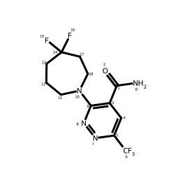 NC(=O)c1cc(C(F)(F)F)nnc1N1CCCC(F)(F)CC1